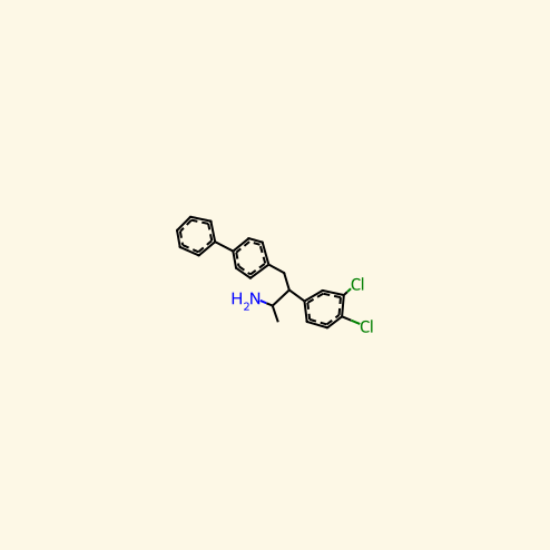 CC(N)C(Cc1ccc(-c2ccccc2)cc1)c1ccc(Cl)c(Cl)c1